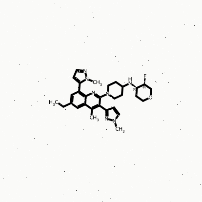 CCc1cc(-c2ccnn2C)c2nc(N3CCC(N[C@@H]4CCOC[C@@H]4F)CC3)c(-c3ccn(C)n3)c(C)c2c1